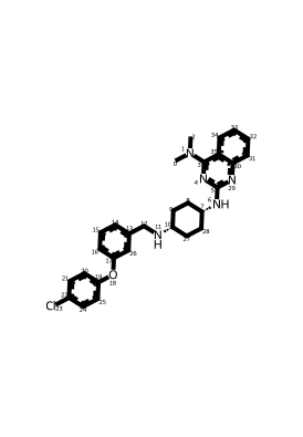 CN(C)c1nc(N[C@H]2CC[C@@H](NCc3cccc(Oc4ccc(Cl)cc4)c3)CC2)nc2ccccc12